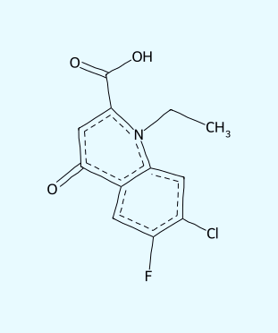 CCn1c(C(=O)O)cc(=O)c2cc(F)c(Cl)cc21